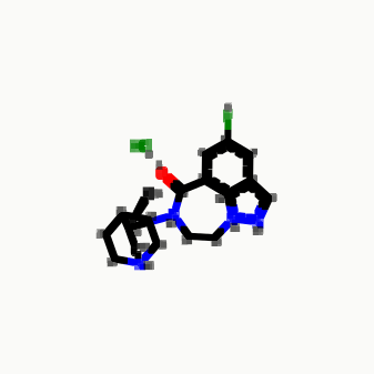 Cl.O=C1c2cc(F)cc3cnn(c23)CCN1[C@@H]1CN2CCC1CC2